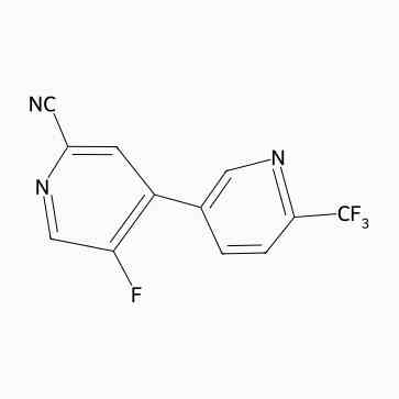 N#Cc1cc(-c2ccc(C(F)(F)F)nc2)c(F)cn1